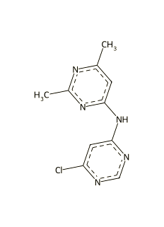 Cc1cc(Nc2cc(Cl)ncn2)nc(C)n1